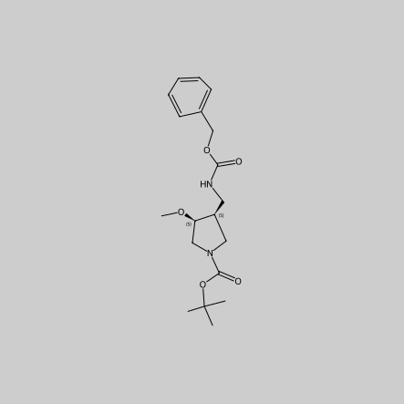 CO[C@@H]1CN(C(=O)OC(C)(C)C)C[C@@H]1CNC(=O)OCc1ccccc1